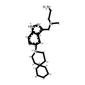 CN(CCN)Cc1n[nH]c2ccc(N3CCC4(CCCCC4)CC3)cc12